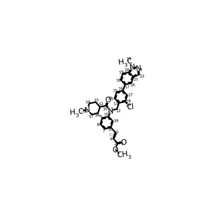 COC(=O)/C=C/c1cccc(N(Cc2ccc(-c3ccc4c(cnn4C)c3)cc2Cl)C(=O)C2CCN(C)CC2)c1